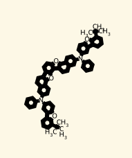 CC(C)(C)c1cccc2c1oc1ccc(N(c3ccccc3)c3ccc4c(ccc5c6ccc7oc8c9ccc(N(c%10ccccc%10)c%10ccc%11oc%12c(C(C)(C)C)cccc%12c%11c%10)cc9ccc8c7c6oc45)c3)cc12